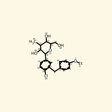 CCOc1ccc(Cc2cc(C3OC(CO)C(O)C(C)C3O)ccc2Cl)cc1